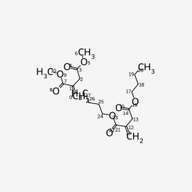 C=C(CC(=O)OC)C(=O)OC.C=C(CC(=O)OCCCC)C(=O)OCCCC